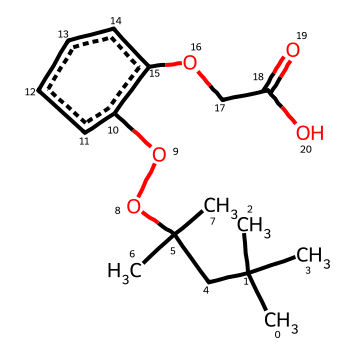 CC(C)(C)CC(C)(C)OOc1ccccc1OCC(=O)O